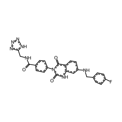 O=C(NCc1nnn[nH]1)c1ccc(-n2c(=O)[nH]c3cc(NCc4ccc(F)cc4)ccc3c2=O)cc1